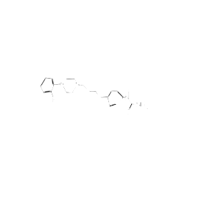 NC(=O)Nc1ccc(OCCCN2CCN(c3ccccc3F)CC2)cc1